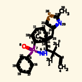 [2H]C([2H])(C=C)[C@@H](NP(=O)(c1ccccc1)c1ccccc1)/C(C)=C/c1csc(C)n1